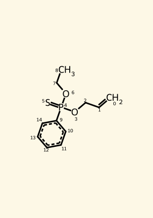 C=CCOP(=S)(OCC)c1ccccc1